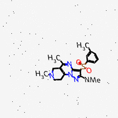 CNc1nn2c3c(c(C)nc2c1S(=O)(=O)c1cccc(C)c1)CN(C)CC3